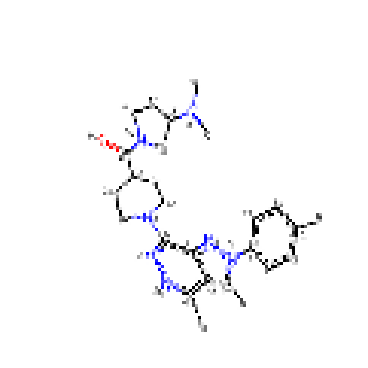 Cc1ccc(-n2nc3c(N4CCC(C(=O)N5CCC(N(C)C)C5)CC4)nnc(C)c3c2C)cc1